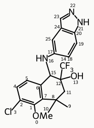 COc1c(Cl)ccc2c1C(C)(C)CC(O)(C(F)(F)F)C2Nc1ccc2[nH]ncc2c1